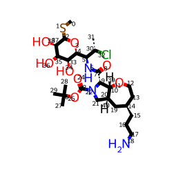 CSC1O[C@H]([C@H](NC(=O)[C@@H]2[C@@H]3OCC[C@@H](CCCN)C[C@H]3CN2C(=O)OC(C)(C)C)[C@H](C)Cl)[C@@H](O)C(O)[C@H]1O